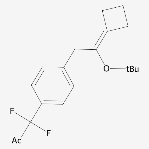 CC(=O)C(F)(F)c1ccc(CC(OC(C)(C)C)=C2CCC2)cc1